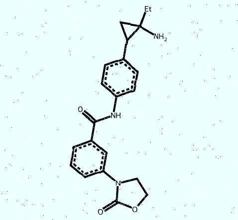 CCC1(N)CC1c1ccc(NC(=O)c2cccc(N3CCOC3=O)c2)cc1